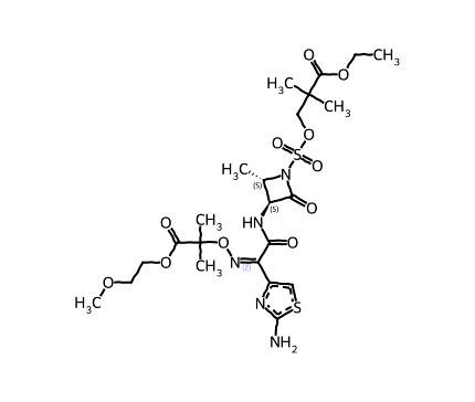 CCOC(=O)C(C)(C)COS(=O)(=O)N1C(=O)[C@@H](NC(=O)/C(=N\OC(C)(C)C(=O)OCCOC)c2csc(N)n2)[C@@H]1C